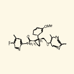 COC1=CC([C@]2(COc3cnc(C)nc3C)C[C@H]2C(=O)Nc2cc(C)c(F)cn2)CC=C1